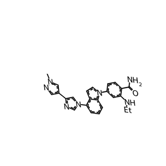 CCNc1cc(-n2ccc3c(-n4cnc(-c5cnn(C)c5)c4)cccc32)ccc1C(N)=O